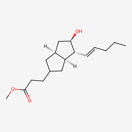 CCC/C=C/[C@@H]1[C@H]2CC(CCC(=O)OC)C[C@H]2C[C@H]1O